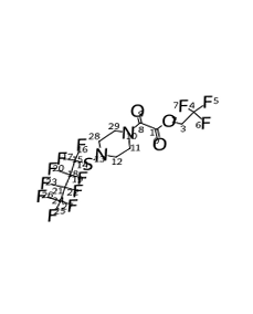 O=C(OCC(F)(F)F)C(=O)N1CCN(SC(F)(F)C(F)(F)C(F)(F)C(F)(F)F)CC1